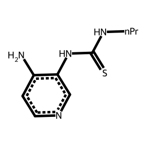 CCCNC(=S)Nc1cnccc1N